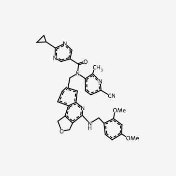 COc1ccc(CNc2nc3cc(CN(C(=O)c4cnc(C5CC5)nc4)c4ccc(C#N)nc4C)ccc3c3c2COC3)c(OC)c1